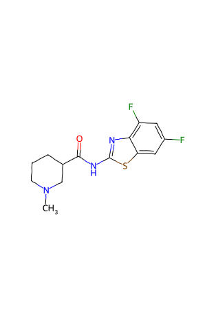 CN1CCCC(C(=O)Nc2nc3c(F)cc(F)cc3s2)C1